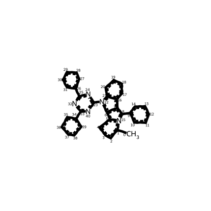 Cc1cccc2c3c(c(-c4ccccc4)n12)c1ccccc1n3-c1nc(-c2ccccc2)nc(-c2ccccc2)n1